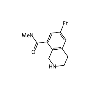 CCc1cc2c(c(C(=O)NC)c1)CNCC2